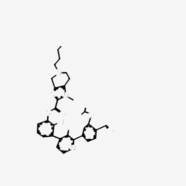 Cn1c(C(=O)Nc2cccc(-c3ccnc(-c4ccc(C=O)c(OC(F)F)c4)c3Cl)c2Cl)nc2c1CCN(CCCF)C2